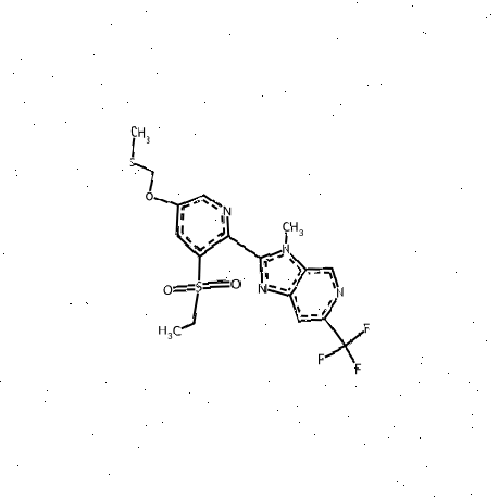 CCS(=O)(=O)c1cc(OCSC)cnc1-c1nc2cc(C(F)(F)F)ncc2n1C